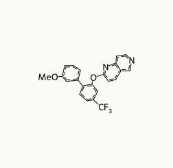 COc1cccc(-c2ccc(C(F)(F)F)cc2Oc2ccc3cnccc3n2)c1